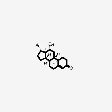 CC(=O)[C@H]1CC[C@H]2[C@@H]3CCC4=CC(=O)CC[C@]4(C)[C@H]3C[C@@H](O)[C@]12C